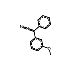 COc1cccc(C(=[N+]=[N-])c2ccccc2)c1